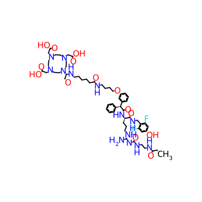 CCC(=O)NCCNC(=O)/N=C(/N)NCCC[C@@H](NC(=O)[C@@H](c1ccccc1)c1cccc(OCCCCNC(=O)CCCCCNC(C=O)N2CCN(CC(=O)O)CCN(CC(=O)O)CCN(CC(=O)O)CC2)c1)C(=O)NCc1c(F)cc(O)cc1F